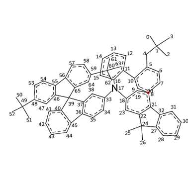 CC(C)(C)Cc1ccccc1-c1ccccc1N(c1ccc2c(c1)C(C)(C)c1ccccc1-2)c1ccc2c(c1)C1(c3ccccc3-2)c2cc(C(C)(C)C)ccc2-c2ccc(C(C)(C)C)cc21